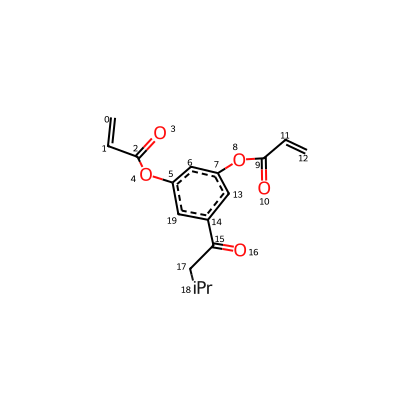 C=CC(=O)Oc1cc(OC(=O)C=C)cc(C(=O)CC(C)C)c1